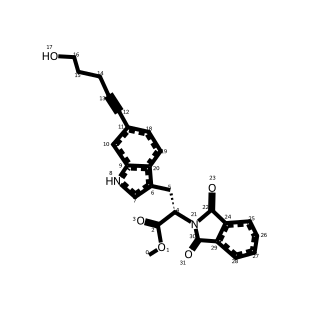 COC(=O)[C@H](Cc1c[nH]c2cc(C#CCCCO)ccc12)N1C(=O)c2ccccc2C1=O